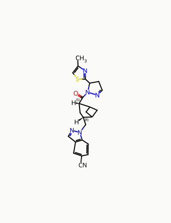 Cc1csc(C2CC=NN2C(=O)[C@H]2C[C@@H](Cn3ncc4cc(C#N)ccc43)C3CC2C3)n1